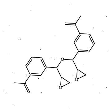 C=C(C)c1cccc(C(OC(c2cccc(C(=C)C)c2)C2CO2)C2CO2)c1